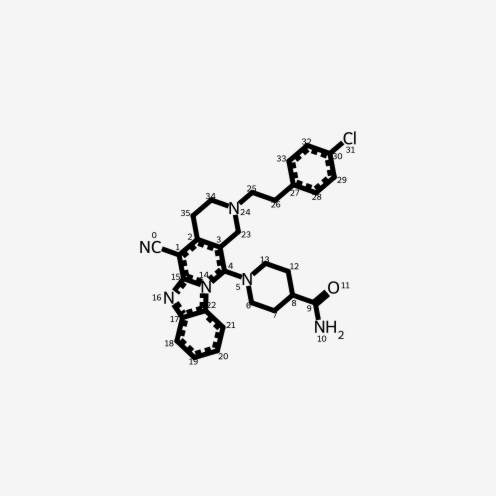 N#Cc1c2c(c(N3CCC(C(N)=O)CC3)n3c1nc1ccccc13)CN(CCc1ccc(Cl)cc1)CC2